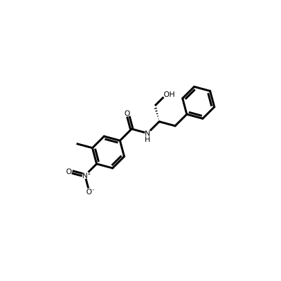 Cc1cc(C(=O)N[C@H](CO)Cc2ccccc2)ccc1[N+](=O)[O-]